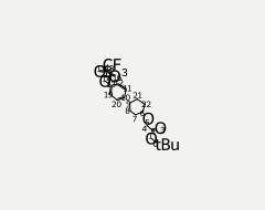 CC(C)(C)OC(=O)CO[C@H]1CC[C@H](c2ccc(OS(=O)(=O)C(F)(F)F)cc2)CC1